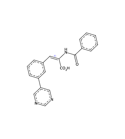 O=C(O)/C(=C\c1cccc(-c2cncnc2)c1)NC(=O)c1ccccc1